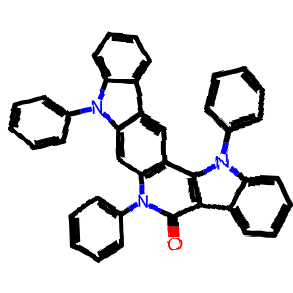 O=c1c2c3ccccc3n(-c3ccccc3)c2c2cc3c4ccccc4n(-c4ccccc4)c3cc2n1-c1ccccc1